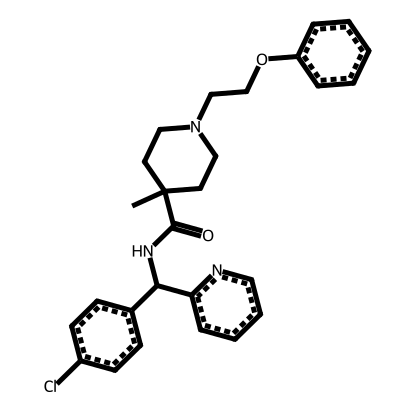 CC1(C(=O)NC(c2ccc(Cl)cc2)c2ccccn2)CCN(CCOc2ccccc2)CC1